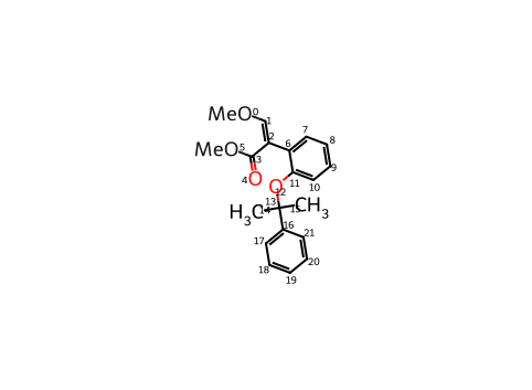 COC=C(C(=O)OC)c1ccccc1OC(C)(C)c1ccccc1